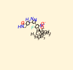 CC(C)[Si](C#Cc1cc(F)c(-c2cnc(N)c(-c3ccc4c(c3)CCNC4=O)c2)cc1[N+](=O)[O-])(C(C)C)C(C)C